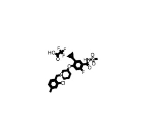 Cc1ccc(CN2CCCC(Oc3cc(F)c(C(=O)NS(C)(=O)=O)cc3C3CC3)C2)c(Cl)c1.O=C(O)C(F)(F)F